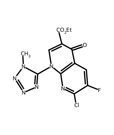 CCOC(=O)c1cn(-c2nnnn2C)c2nc(Cl)c(F)cc2c1=O